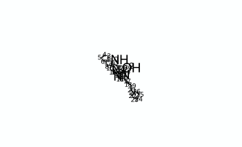 N[C@@H]1c2ccccc2CC12CCN(c1ncc(C#CCCc3ccccc3)nc1CO)CC2